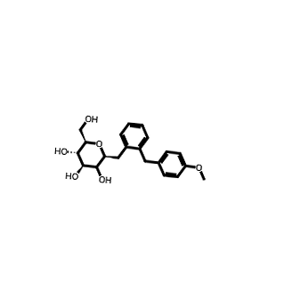 COc1ccc(Cc2ccccc2C[C@@H]2O[C@H](CO)[C@@H](O)[C@H](O)C2O)cc1